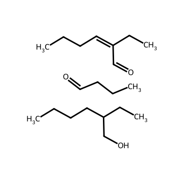 CCCC=C(C=O)CC.CCCC=O.CCCCC(CC)CO